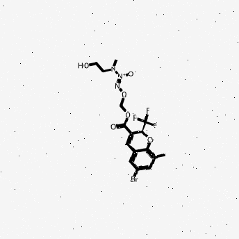 Cc1cc(Br)cc2c1O[C@H](C(F)(F)F)C(C(=O)OCO/N=[N+](\[O-])N(C)CCO)=C2